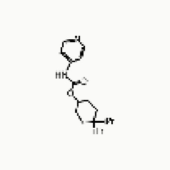 CC(C)C1(C(C)C)CCC(OC(=O)Nc2ccncc2)CC1